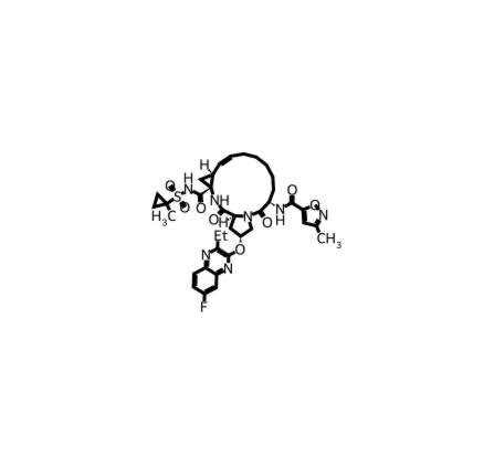 CCc1nc2ccc(F)cc2nc1O[C@@H]1C[C@H]2C(=O)N[C@]3(C(=O)NS(=O)(=O)C4(C)CC4)C[C@H]3/C=C\CCCCC[C@H](NC(=O)c3cc(C)no3)C(=O)N2C1